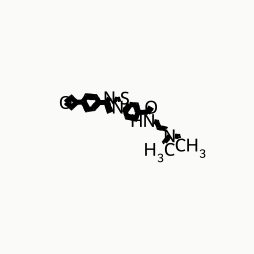 CCN(CC)CCCNC(=O)c1ccc2c(c1)sc1nc(-c3ccc(C4COC4)cc3)cn12